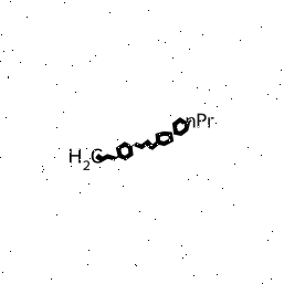 C=CCC[C@H]1CC[C@H](CC/C=C/C2CCC([C@H]3CC[C@H](CCC)CC3)CC2)CC1